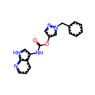 O=C(Nc1c[nH]c2ncccc12)Oc1cnn(Cc2ccccc2)c1